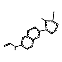 C=CNc1cc2ccc(-c3cncc(F)c3C)cc2cn1